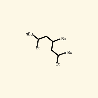 CCCCC(CC)C[C](CC(CC)CCCC)C(C)CC